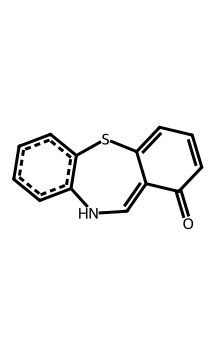 O=C1C=CC=C2Sc3ccccc3NC=C12